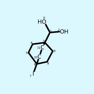 OC(O)C12CCC(I)(CC1)CC2